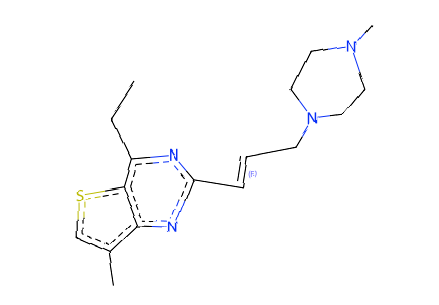 CCc1nc(/C=C/CN2CCN(C)CC2)nc2c(C)csc12